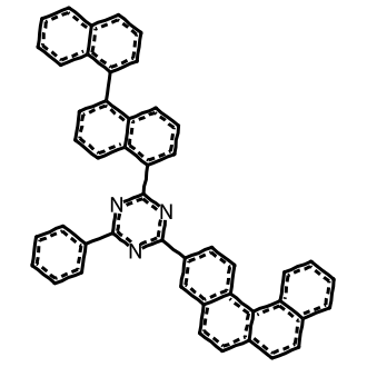 c1ccc(-c2nc(-c3ccc4c(ccc5ccc6ccccc6c54)c3)nc(-c3cccc4c(-c5cccc6ccccc56)cccc34)n2)cc1